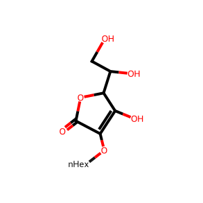 CCCCCCOC1=C(O)C(C(O)CO)OC1=O